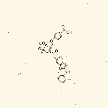 Cc1ccccc1Nc1nc2ccc(CC(=O)N3C[C@@H]4OC(C)(C)O[C@@H]4[C@H]3COc3ccc(C(=O)O)cc3)cc2o1